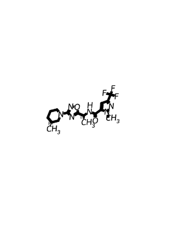 C[C@@H]1CCCN(c2noc([C@H](C)NC(=O)c3cc(C(F)(F)F)nn3C)n2)C1